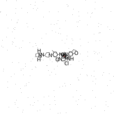 COc1cc(N2CCC(N3C[C@H]4CC[C@@H](C3)N4C)CC2)c(C)cc1Nc1ncc(Cl)c(Nc2cc3c(cc2N(C)S(C)(=O)=O)CCO3)n1